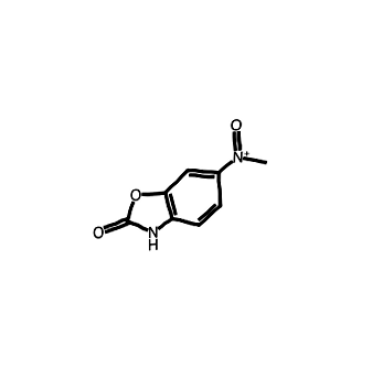 C[N+](=O)c1ccc2[nH]c(=O)oc2c1